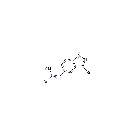 [C-]#[N+]/C(=C\c1ccc2[nH]nc(Br)c2c1)C(C)=O